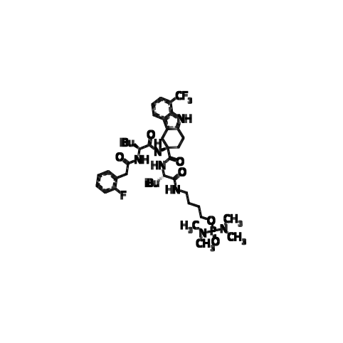 CCC(C)[C@H](NC(=O)Cc1ccccc1F)C(=O)N[C@]1(C(=O)N[C@H](C(=O)NCCCCOP(=O)(N(C)C)N(C)C)C(C)CC)CCc2[nH]c3c(C(F)(F)F)cccc3c2C1